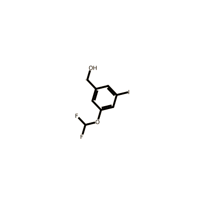 O[CH]c1cc(I)cc(OC(F)F)c1